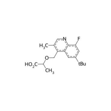 Cc1cnc2c(F)cc(C(C)(C)C)cc2c1COC(C)C(=O)O